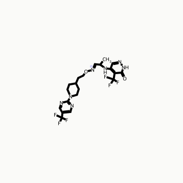 CC(/C=N/OCCC1CCN(c2ncc(C(F)(F)F)cn2)CC1)Nc1cn[nH]c(=O)c1C(F)(F)F